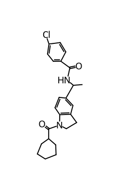 CC(NC(=O)c1ccc(Cl)cc1)c1ccc2c(c1)CCN2C(=O)C1CCCCC1